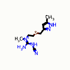 Cc1cc(CSCC[N+](C)=C(N)NC#N)n[nH]1